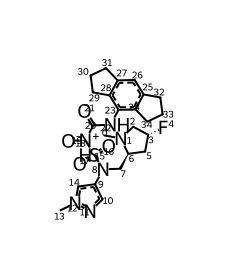 CN1C[C@H](F)C[C@H]1CN(c1cnn(C)c1)S(=O)(=O)[NH+]([O-])C(=O)Nc1c2c(cc3c1CCC3)CCC2